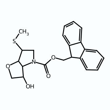 CSC1CN(C(=O)OCC2c3ccccc3-c3ccccc32)C2C(O)COC12